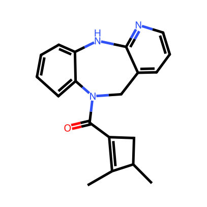 CC1=C(C(=O)N2Cc3cccnc3Nc3ccccc32)CC1C